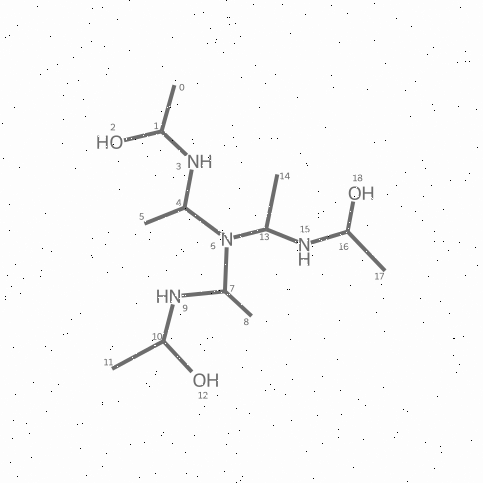 CC(O)NC(C)N(C(C)NC(C)O)C(C)NC(C)O